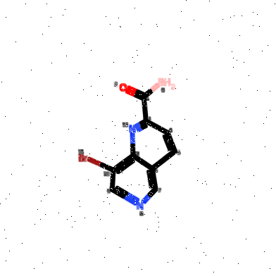 BC(=O)c1ccc2cncc(Br)c2n1